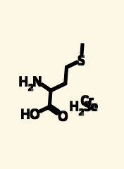 CSCCC(N)C(=O)O.[Cr].[SeH2]